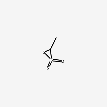 CC1SS1(=O)=S